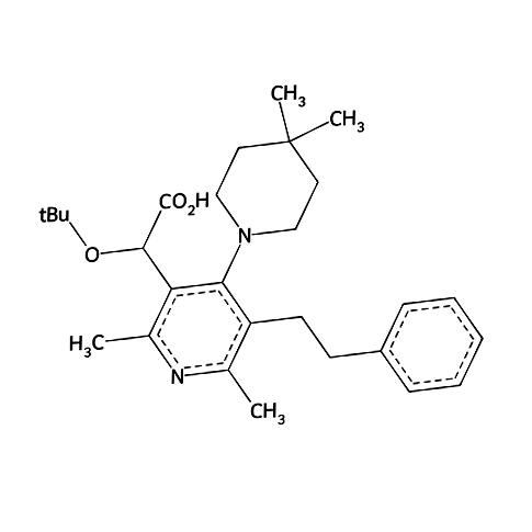 Cc1nc(C)c(C(OC(C)(C)C)C(=O)O)c(N2CCC(C)(C)CC2)c1CCc1ccccc1